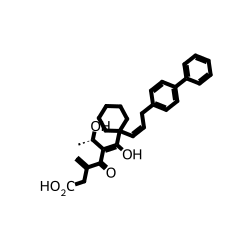 C=C(CC(=O)O)C(=O)/C(=C(\O)C1(/C=C\Cc2ccc(-c3ccccc3)cc2)CCCCC1)[C@H](C)O